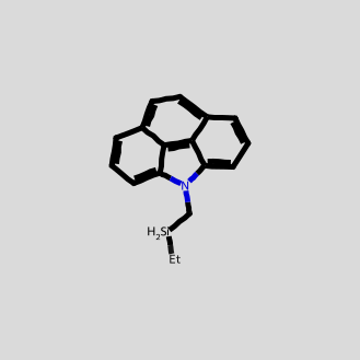 CC[SiH2]Cn1c2cccc3ccc4cccc1c4c32